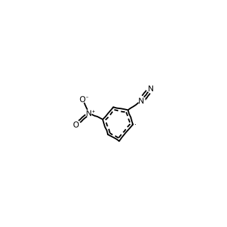 N#[N+]c1[c]ccc([N+](=O)[O-])c1